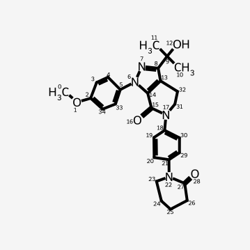 COc1ccc(-n2nc(C(C)(C)O)c3c2C(=O)N(c2ccc(N4CCCCC4=O)cc2)CC3)cc1